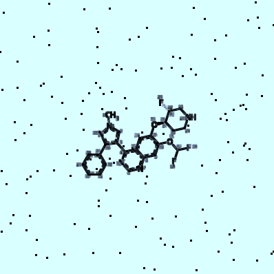 Cn1cc(-c2ncnc3cc(OC(F)F)c(O[C@@H]4CCNC[C@H]4F)cc23)c(-c2ccccc2)n1